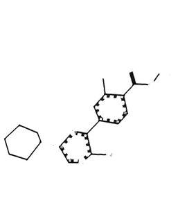 COC(=O)c1ccc(-c2nc([C@H]3CC[C@@H](O)CC3)cnc2N)cc1F